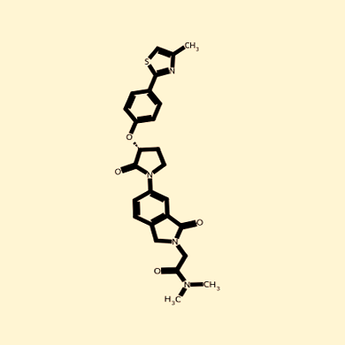 Cc1csc(-c2ccc(O[C@@H]3CCN(c4ccc5c(c4)C(=O)N(CC(=O)N(C)C)C5)C3=O)cc2)n1